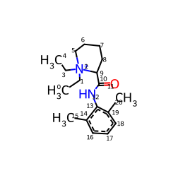 CC[N+]1(CC)CCCCC1C(=O)Nc1c(C)cccc1C